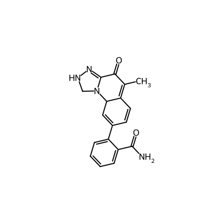 CC1=C2C=CC(c3ccccc3C(N)=O)=CC2N2CNN=C2C1=O